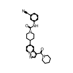 N#Cc1cccc(NC(=O)N2CCC(c3ccn4ncc(C(=O)N5CCCCC5)c4c3)CC2)c1